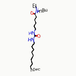 CCCCCCCCCCCCCCCCCCNC(=O)NCCCCCC(=O)N(CC)CCCC